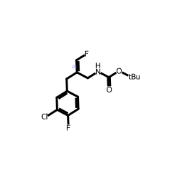 CC(C)(C)OC(=O)NC/C(=C\F)Cc1ccc(F)c(Cl)c1